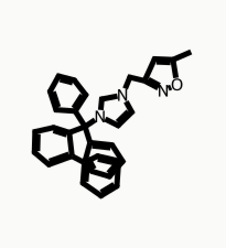 Cc1cc(CN2C=CN(C(c3ccccc3)(c3ccccc3)c3ccccc3-c3ccccc3)C2)no1